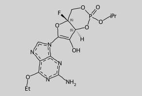 CCOc1nc(N)nc2c1ncn2C1=C(O)[C@@H]2OP(=O)(OC(C)C)OC[C@@]2(F)O1